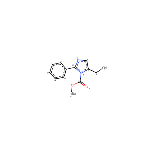 CC(C)(C)OC(=O)n1c(CC#N)cnc1-c1ccccc1